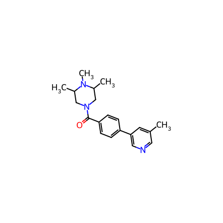 Cc1cncc(-c2ccc(C(=O)N3CC(C)N(C)C(C)C3)cc2)c1